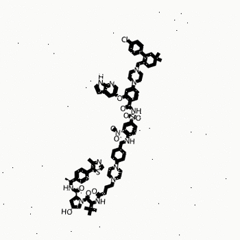 Cc1ncsc1-c1ccc([C@H](C)NC(=O)[C@@H]2C[C@@H](O)CN2C(=O)C(NC(=O)CCCN2CCN(C3CCC(CNc4ccc(S(=O)(=O)NC(=O)c5ccc(N6CCN(CC7=C(c8ccc(Cl)cc8)CC(C)(C)CC7)CC6)cc5Oc5cnc6[nH]ccc6c5)cc4[N+](=O)[O-])CC3)CC2)C(C)(C)C)cc1